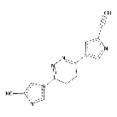 C#Cc1cn(C2=NN=C(n3cnc(C#N)c3)CC2)cn1